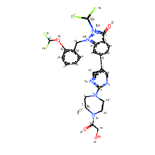 C[C@@H]1CN(c2ncc(-c3ccc4c(=O)n(C(F)F)n(Cc5ccccc5OC(F)F)c4c3)cn2)CCN1C(=O)CO